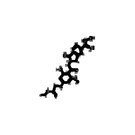 CCOC(=O)COc1cc(O)c(C(=O)CN2Cc3cc(C(=N)NO)ccc3C2=O)c(OC)c1